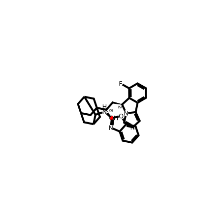 O[C@@H](C[C@H]1c2c(F)cccc2-c2cncn21)C12CC3CC(C1)C(Nc1nc4ccccc4o1)C(C3)C2